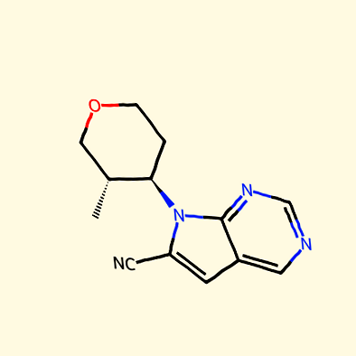 C[C@@H]1COCC[C@H]1n1c(C#N)cc2cncnc21